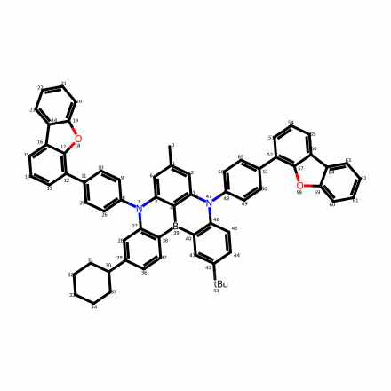 Cc1cc2c3c(c1)N(c1ccc(-c4cccc5c4oc4ccccc45)cc1)c1cc(C4CCCCC4)ccc1B3c1cc(C(C)(C)C)ccc1N2c1ccc(-c2cccc3c2oc2ccccc23)cc1